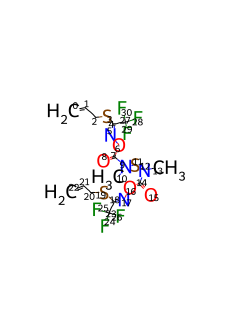 C=CCSC(=NOC(=O)N(C)SN(C)C(=O)ON=C(SCC=C)C(F)(F)F)C(F)(F)F